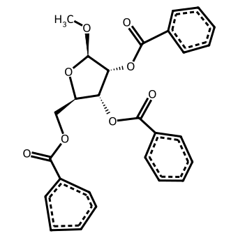 CO[C@@H]1O[C@H](COC(=O)c2ccccc2)[C@@H](OC(=O)c2ccccc2)[C@H]1OC(=O)c1ccccc1